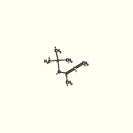 C=C=C(C)OC(C)(C)C